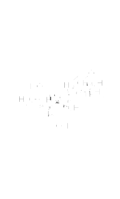 C=C(CO)[C@@H]1CC[C@]2(CO)CC[C@]3(C)[C@H](CC[C@@H]4[C@@]5(C)C=CC(=O)C(C)(C)[C@@H]5CC[C@]43C)[C@@H]12